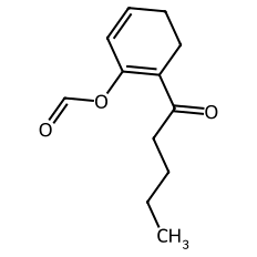 CCCCC(=O)C1=C(OC=O)C=CCC1